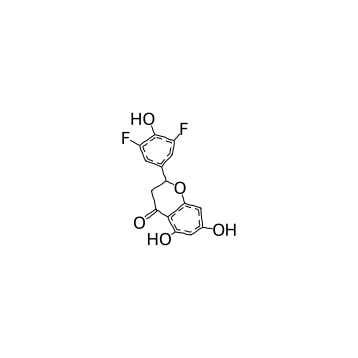 O=C1CC(c2cc(F)c(O)c(F)c2)Oc2cc(O)cc(O)c21